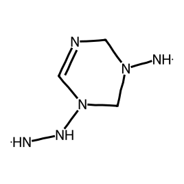 [NH]NN1C=NCN([NH])C1